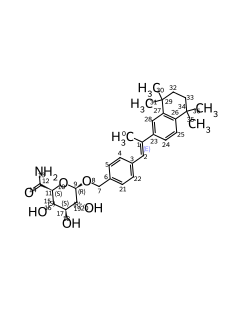 C/C(=C\c1ccc(CO[C@@H]2O[C@H](C(N)=O)[C@@H](O)[C@H](O)[C@H]2O)cc1)c1ccc2c(c1)C(C)(C)CCC2(C)C